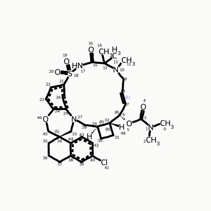 CN(C)C(=O)O[C@H]1/C=C/CN(C)C(C)(C)C(=O)NS(=O)(=O)c2ccc3c(c2)N(C[C@@H]2CC[C@H]21)C[C@@]1(CCCc2cc(Cl)ccc21)CO3